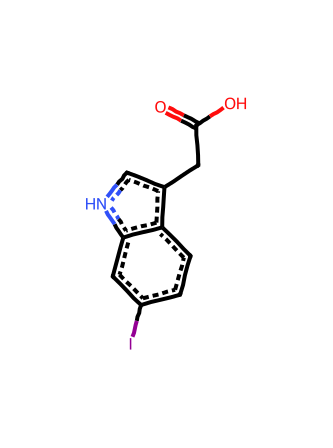 O=C(O)Cc1c[nH]c2cc(I)ccc12